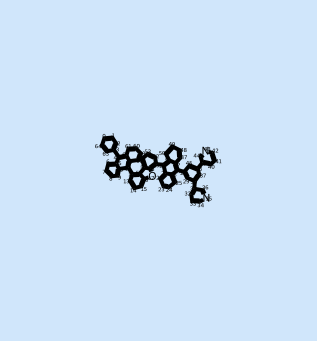 c1ccc(-c2c3ccccc3c(-c3cccc4oc5c(-c6c7ccccc7c(-c7cc(-c8cccnc8)cc(-c8cccnc8)c7)c7ccccc67)cccc5c34)c3ccccc23)cc1